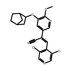 COc1ncc(/C(C#N)=C/c2c(Cl)cncc2Cl)cc1OC1CC2CCC1C2